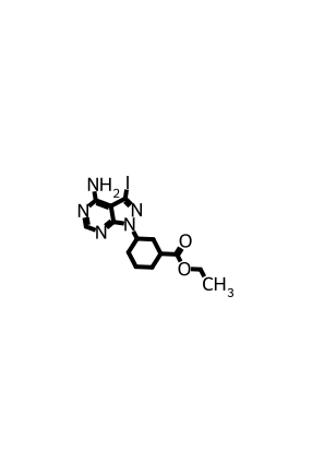 CCOC(=O)C1CCCC(n2nc(I)c3c(N)ncnc32)C1